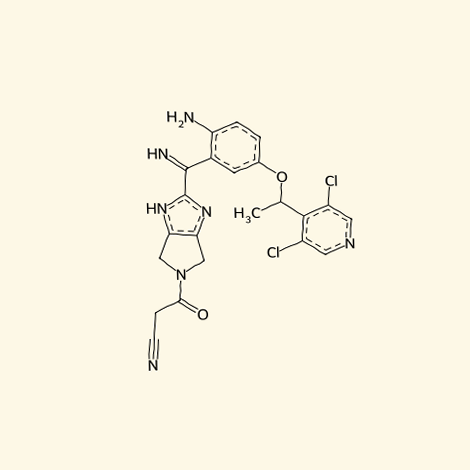 CC(Oc1ccc(N)c(C(=N)c2nc3c([nH]2)CN(C(=O)CC#N)C3)c1)c1c(Cl)cncc1Cl